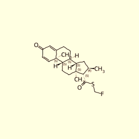 C[C@@H]1C[C@H]2[C@@H]3CCC4=CC(=O)C=C[C@]4(C)[C@H]3CC[C@]2(C)[C@H]1C(=O)SCF